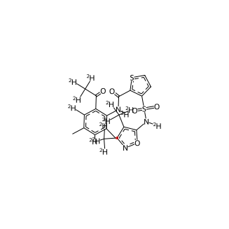 [2H]c1c(C)c([2H])c(C(=O)C([2H])([2H])[2H])c(N([2H])C(=O)c2sccc2S(=O)(=O)N([2H])c2onc(C([2H])([2H])[2H])c2C([2H])([2H])[2H])c1C